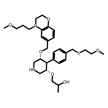 COCCCN1CCOc2ccc(CO[C@H]3CNC[C@@H](OCC(C)O)C3c3ccc(CSCCOC)cc3)cc21